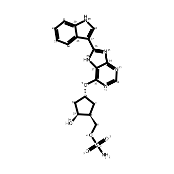 NS(=O)(=O)OC[C@@H]1C[C@@H](Oc2ncnc3nc(-c4c[nH]c5ccccc45)[nH]c23)C[C@@H]1O